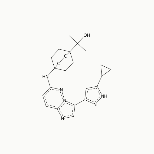 CC(C)(O)C12CCC(Nc3ccc4ncc(-c5cc(C6CC6)[nH]n5)n4n3)(CC1)CC2